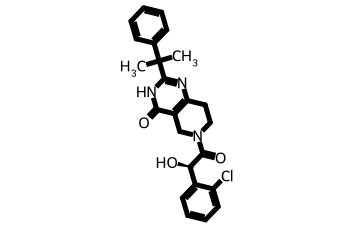 CC(C)(c1ccccc1)c1nc2c(c(=O)[nH]1)CN(C(=O)[C@H](O)c1ccccc1Cl)CC2